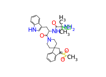 CC(C)(N)C(=O)NC(Cc1c[nH]c2ccccc12)C(=O)N1CCC2(CC1)C[C@@H](S(C)(=O)=O)c1ccccc12.Cl